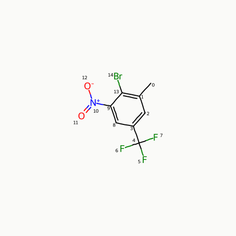 Cc1cc(C(F)(F)F)cc([N+](=O)[O-])c1Br